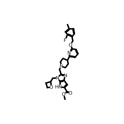 COC(=O)c1cc2nc(CN3CCC(c4cccc(OCc5ccc(C)cc5F)n4)CC3)n(CC3CCO3)c2[nH]1